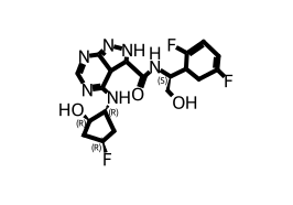 O=C(N[C@H](CO)C1CC(F)=CC=C1F)C1NN=C2N=CN=C(N[C@@H]3C[C@@H](F)C[C@H]3O)C21